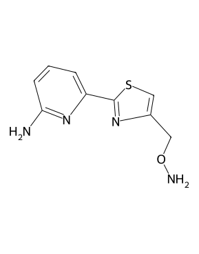 NOCc1csc(-c2cccc(N)n2)n1